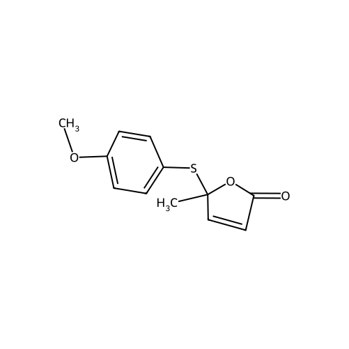 COc1ccc(SC2(C)C=CC(=O)O2)cc1